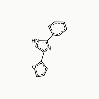 c1ccc(-c2nc(-c3ccco3)c[nH]2)cc1